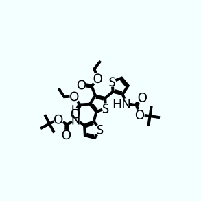 CCOC(=O)c1c(-c2sccc2NC(=O)OC(C)(C)C)sc(-c2sccc2NC(=O)OC(C)(C)C)c1C(=O)OCC